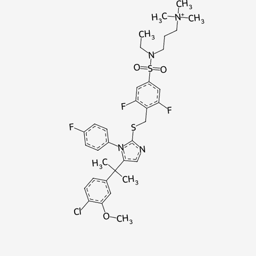 CCN(CCC[N+](C)(C)C)S(=O)(=O)c1cc(F)c(CSc2ncc(C(C)(C)c3ccc(Cl)c(OC)c3)n2-c2ccc(F)cc2)c(F)c1